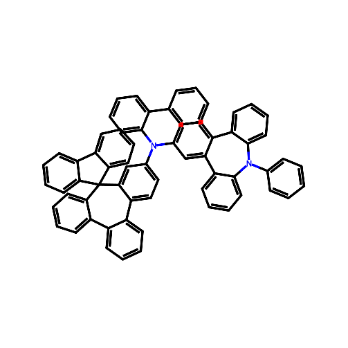 c1ccc(-c2ccccc2N(c2ccc3c(c2)-c2ccccc2N(c2ccccc2)c2ccccc2-3)c2ccc3c(c2)C2(c4ccccc4-c4ccccc4-3)c3ccccc3-c3ccccc32)cc1